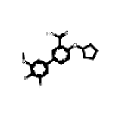 COc1cc(-c2ccc(OC3CCCC3)c(C(=O)O)c2)cc(F)c1F